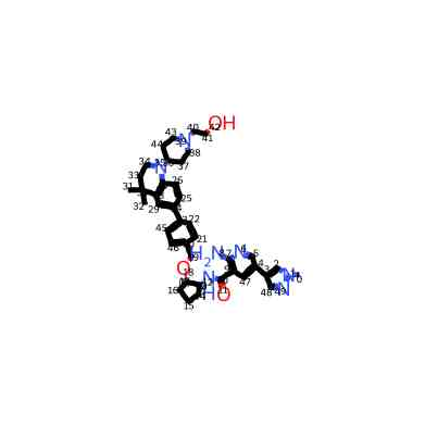 Cn1cc(-c2cnc(N)c(C(=O)N[C@H]3CCC[C@@H]3OCc3ccc(-c4ccc5c(c4)C(C)(C)CCN5C4CCN(CCO)CC4)cc3)c2)cn1